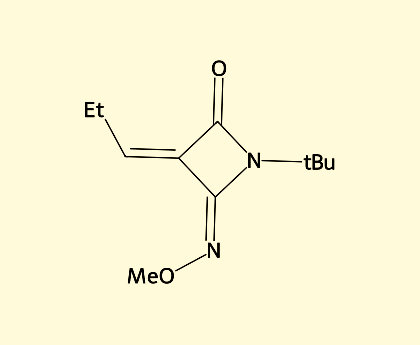 CCC=C1C(=O)N(C(C)(C)C)C1=NOC